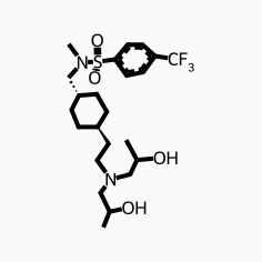 CC(O)CN(CC[C@H]1CC[C@H](CN(C)S(=O)(=O)c2ccc(C(F)(F)F)cc2)CC1)CC(C)O